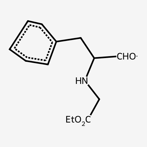 CCOC(=O)CNC([C]=O)Cc1ccccc1